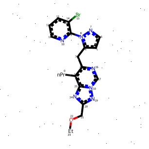 CCCc1c(Cc2ccnn2-c2ncccc2Br)ncn2nc(COCC)nc12